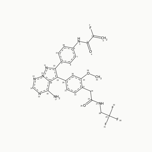 C=C(F)C(=O)Nc1ccc(-c2nn3ncnc(N)c3c2-c2ccc(CC(=O)NCC(F)(F)F)c(OC)c2)cc1